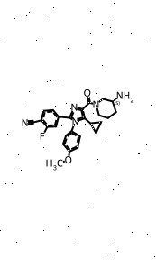 COc1ccc(-n2c(-c3ccc(C#N)c(F)c3)nc(C(=O)N3CCC[C@H](N)C3)c2C2CC2)cc1